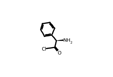 N[C@@H](C(=O)Cl)c1ccccc1